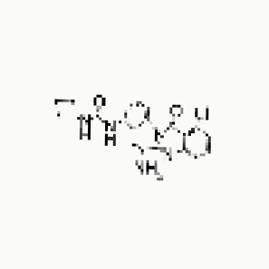 C[C@H](N)c1nc2cccc(Cl)c2c(=O)n1-c1cccc(NC(=O)NC2CCC2)c1